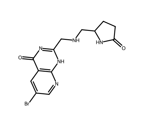 O=C1CCC(CNCc2nc(=O)c3cc(Br)cnc3[nH]2)N1